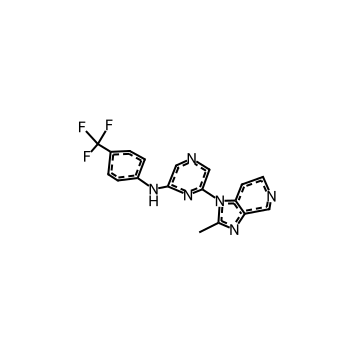 Cc1nc2cnccc2n1-c1cncc(Nc2ccc(C(F)(F)F)cc2)n1